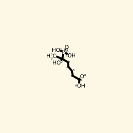 CC(O)(CCCCC(=O)O)P(=O)(O)O